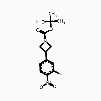 CC(C)(C)OC(=O)N1CC(c2ccc([N+](=O)[O-])c(F)c2)C1